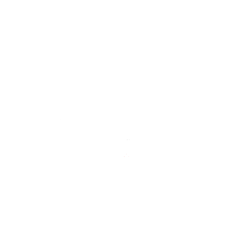 CC1=CCC(CCC(=O)c2ccc3ccccc3c2)=C1C